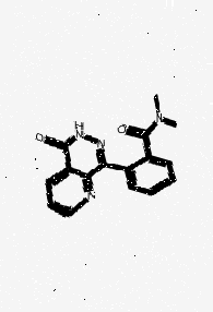 CN(C)C(=O)c1ccccc1-c1n[nH]c(=O)c2cccnc12